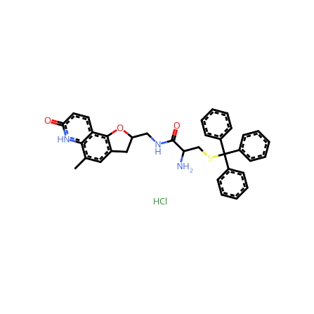 Cc1cc2c(c3ccc(=O)[nH]c13)OC(CNC(=O)C(N)CSC(c1ccccc1)(c1ccccc1)c1ccccc1)C2.Cl